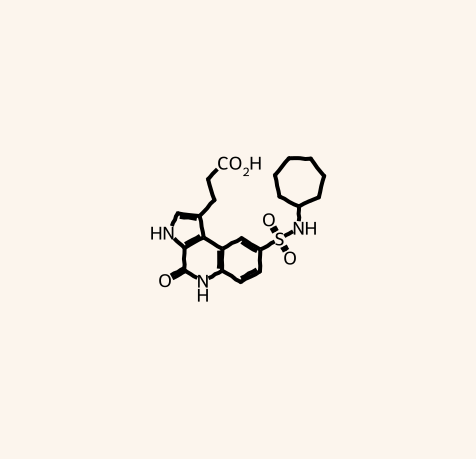 O=C(O)CCc1c[nH]c2c(=O)[nH]c3ccc(S(=O)(=O)NC4CCCCCC4)cc3c12